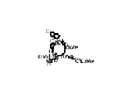 COCCOCCOCCO[C@H]1/C=C/[C@H](OC)[C@@H]2CC[C@H]2CN2C[C@@]3(CCCc4cc(Cl)ccc43)COc3ccc(cc32)C(=O)N=[S@](=O)(NC(=O)c2cn(C)nc2OC)C[C@H]1C